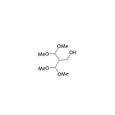 COC(OC)C(CO)C(OC)OC